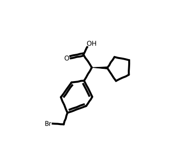 O=C(O)[C@H](c1ccc(CBr)cc1)C1CCCC1